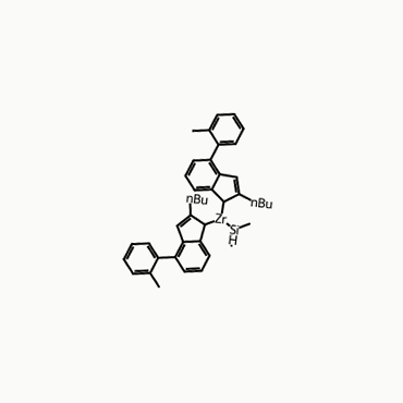 CCCCC1=Cc2c(-c3ccccc3C)cccc2[CH]1[Zr]([CH]1C(CCCC)=Cc2c(-c3ccccc3C)cccc21)[SiH](C)C